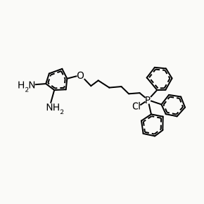 Nc1ccc(OCCCCCCP(Cl)(c2ccccc2)(c2ccccc2)c2ccccc2)cc1N